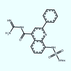 CCCCCCS(=O)(=O)Nc1cccc2c(C(=O)NC(=N)N)cc(-c3ccccc3)nc12